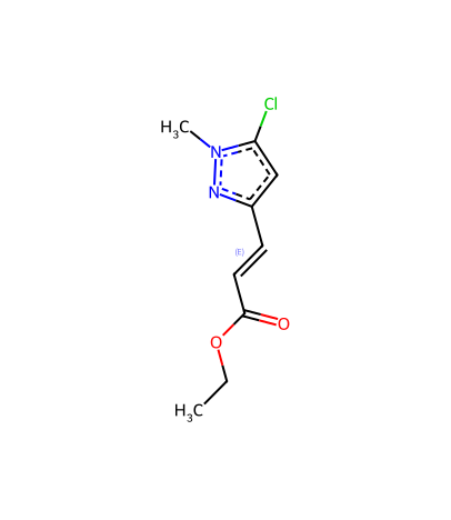 CCOC(=O)/C=C/c1cc(Cl)n(C)n1